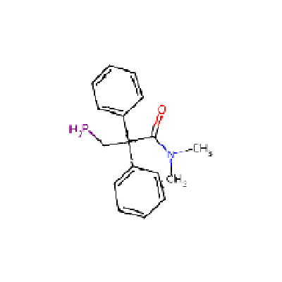 CN(C)C(=O)C(CP)(c1ccccc1)c1ccccc1